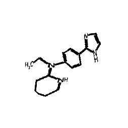 CCN(c1ccc(-c2ncc[nH]2)cc1)C1CCCCN1